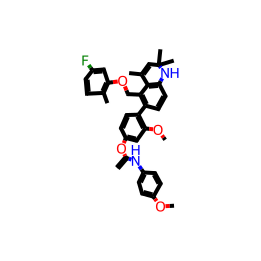 C=C(Nc1ccc(OC)cc1)Oc1ccc(-c2ccc3c(c2COc2cc(F)ccc2C)C(C)=CC(C)(C)N3)c(OC)c1